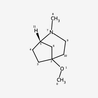 COC12CC[C@@H](C1)N(C)CC2